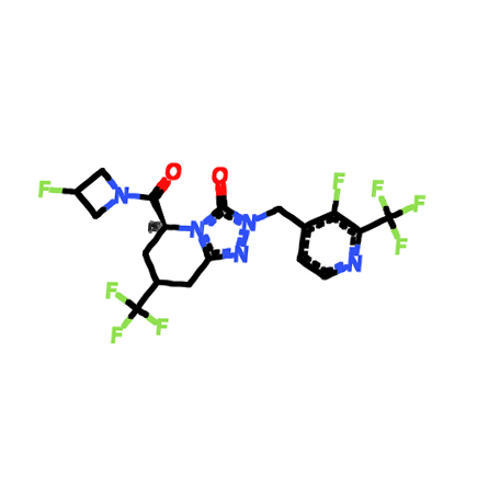 O=C([C@@H]1CC(C(F)(F)F)Cc2nn(Cc3ccnc(C(F)(F)F)c3F)c(=O)n21)N1CC(F)C1